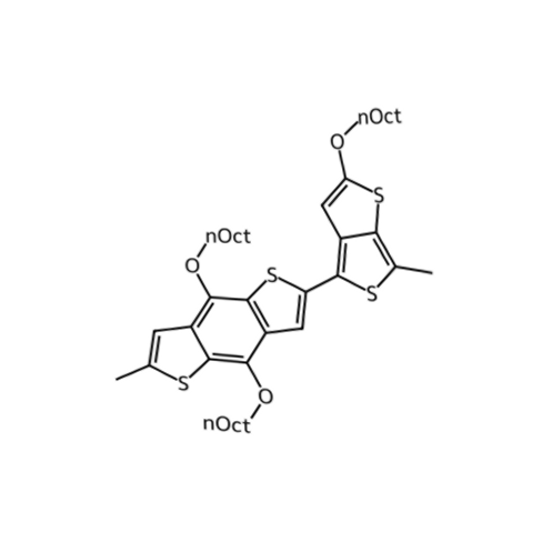 CCCCCCCCOc1cc2c(-c3cc4c(OCCCCCCCC)c5sc(C)cc5c(OCCCCCCCC)c4s3)sc(C)c2s1